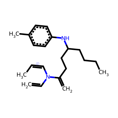 C=CN(/C=C\C)C(=C)CCC(CCCC)Nc1ccc(C)cc1